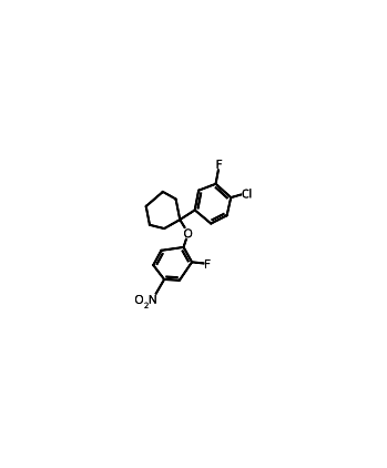 O=[N+]([O-])c1ccc(OC2(c3ccc(Cl)c(F)c3)CCCCC2)c(F)c1